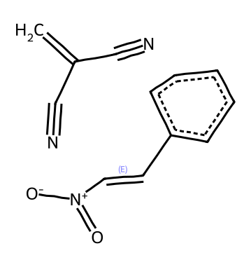 C=C(C#N)C#N.O=[N+]([O-])/C=C/c1ccccc1